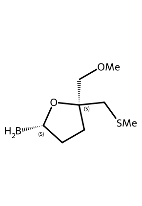 B[C@H]1CC[C@](COC)(CSC)O1